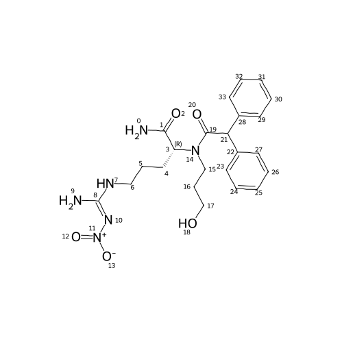 NC(=O)[C@@H](CCCNC(N)=N[N+](=O)[O-])N(CCCO)C(=O)C(c1ccccc1)c1ccccc1